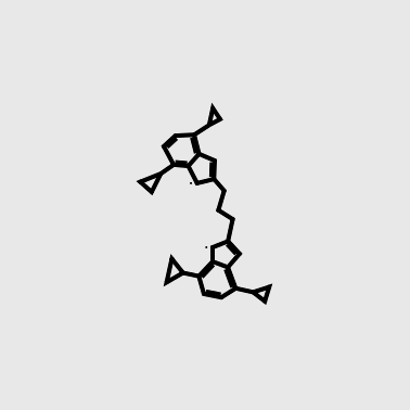 [CH]1C(CCCC2=Cc3c(C4CC4)ccc(C4CC4)c3[CH]2)=Cc2c(C3CC3)ccc(C3CC3)c21